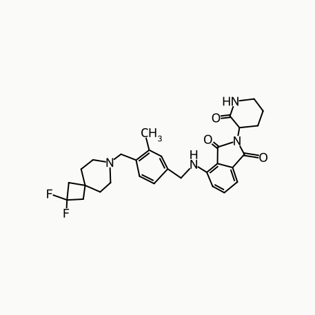 Cc1cc(CNc2cccc3c2C(=O)N(C2CCCNC2=O)C3=O)ccc1CN1CCC2(CC1)CC(F)(F)C2